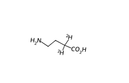 [2H]C([2H])(CCN)C(=O)O